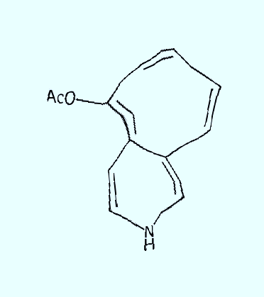 CC(=O)OC1=C2C=CNC=C2C=CC=C1